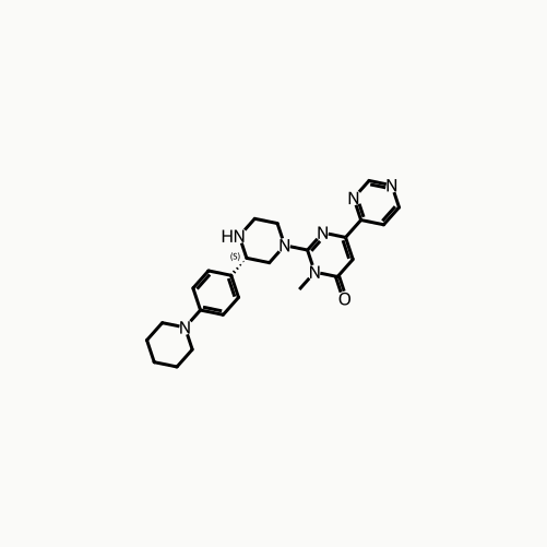 Cn1c(N2CCN[C@@H](c3ccc(N4CCCCC4)cc3)C2)nc(-c2ccncn2)cc1=O